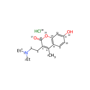 CCN(CC)CCc1c(C)c2ccc(O)cc2oc1=O.Cl